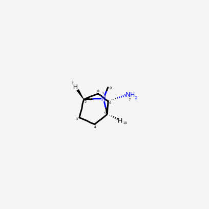 CN1[C@@H]2CC[C@@H]1[C@@H](N)C2